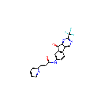 O=C(C=Cc1ccccn1)Nc1ccc2c(c1)C(=O)c1nc(C(F)(F)F)ncc1-2